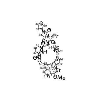 CCn1c(-c2cccnc2[C@H](C)OC)c2c3cc(ccc31)-c1csc(n1)C[C@H](NC(=O)[C@H](C(C)C)N1CCN([C@H]3CCOC3)C1=O)C(=O)N1CCC[C@H](N1)C(=O)OCC(C)(C)C2